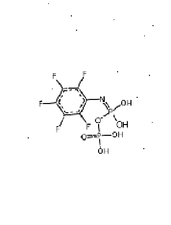 O=P(O)(O)OP(O)(O)=Nc1c(F)c(F)c(F)c(F)c1F